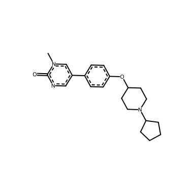 Cn1cc(-c2ccc(OC3CCN(C4CCCC4)CC3)cc2)cnc1=O